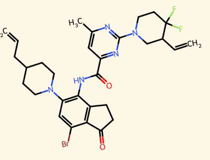 C=CCC1CCN(c2cc(Br)c3c(c2NC(=O)c2cc(C)nc(N4CCC(F)(F)C(C=C)C4)n2)CCC3=O)CC1